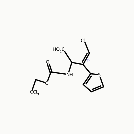 O=C(NC(C(=O)O)/C(=C\Cl)c1cccs1)OCC(Cl)(Cl)Cl